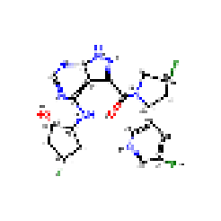 O=C(c1n[nH]c2ncnc(N[C@H]3C[C@H](F)C[C@@H]3O)c12)N1C[C@@H](F)C[C@@H]1c1cncc(F)c1